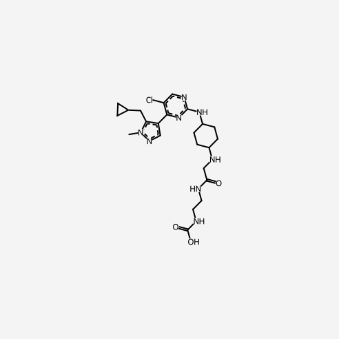 Cn1ncc(-c2nc(NC3CCC(NCC(=O)NCCNC(=O)O)CC3)ncc2Cl)c1CC1CC1